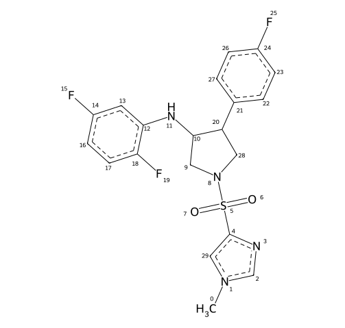 Cn1cnc(S(=O)(=O)N2CC(Nc3cc(F)ccc3F)C(c3ccc(F)cc3)C2)c1